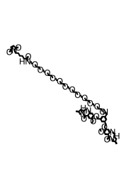 C=C1C[C@H]2C=Nc3cc(OCc4cc(/C=N\OCCOCCOCCOCCOCCOCCOCCOCCOCCOCCOCCOCCNC(=O)CCCCCN5C(=O)C=CC5=O)cc(COc5cc6c(cc5OC)C(=O)N5CC(=C)C[C@H]5C=N6)c4)c(OC)cc3C(=O)N2C1